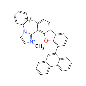 Cc1ccc2c(oc3c(-c4cc5ccccc5c5ccccc45)cccc32)c1-c1n(-c2ccccc2)cc[n+]1C